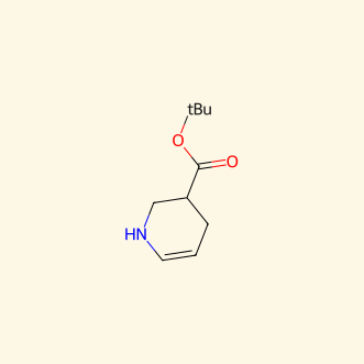 CC(C)(C)OC(=O)C1CC=CNC1